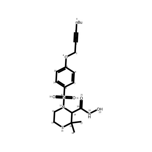 CCCCC#CCOc1ccc(S(=O)(=O)N2CCSC(C)(C)C2C(=O)NO)cc1